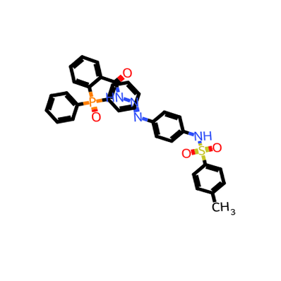 Cc1ccc(S(=O)(=O)Nc2ccc(/N=N/NC(=O)c3ccccc3P(=O)(c3ccccc3)c3ccccc3)cc2)cc1